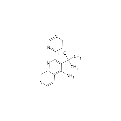 CC(C)(C)c1c(-c2ccncn2)nc2cnccc2c1N